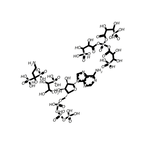 NCCC(O)(P(=O)(O)O)P(=O)(O)O.Nc1ncnc2c1ncn2[C@@H]1O[C@H](COP(=O)(O)OP(=O)(O)OP(=O)(O)O)[C@@H](O)[C@H]1O.O=C(O)C(O)C(O)P(=O)(O)O.O=C(OP(=O)(OC(=O)C(O)C(O)P(=O)(O)O)OC(=O)C(O)C(O)P(=O)(O)O)C(O)C(O)P(=O)(O)O